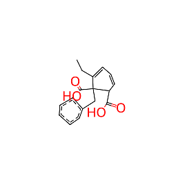 CCC1=CC=CC(C(=O)O)C1(Cc1ccccc1)C(=O)O